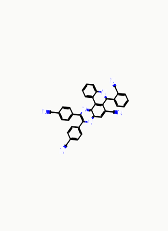 N#Cc1ccc(-c2nc3cc(C#N)c4c(-c5ccccc5C#N)nc5ccccc5c4c3nc2-c2ccc(C#N)cc2)cc1